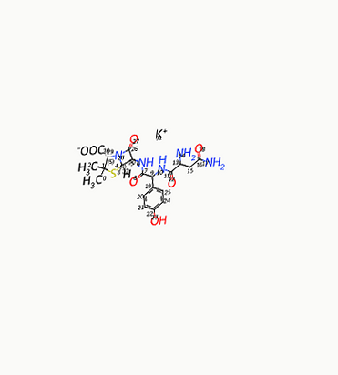 CC1(C)S[C@@H]2[C@H](NC(=O)C(NC(=O)C(N)CC(N)=O)c3ccc(O)cc3)C(=O)N2[C@H]1C(=O)[O-].[K+]